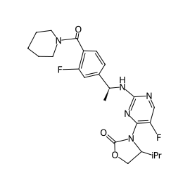 CC(C)C1COC(=O)N1c1nc(N[C@@H](C)c2ccc(C(=O)N3CCCCC3)c(F)c2)ncc1F